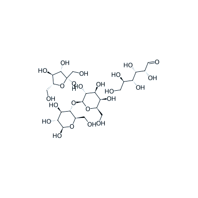 O=C[C@H](O)[C@@H](O)[C@H](O)[C@H](O)CO.OC[C@H]1O[C@@H](O[C@H]2[C@H](O)[C@@H](O)[C@H](O)O[C@@H]2CO)[C@H](O)[C@@H](O)[C@H]1O.OC[C@H]1O[C@](O)(CO)[C@@H](O)[C@@H]1O